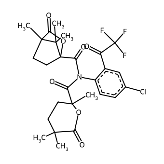 CC1(C)CCC(C)(C(=O)N(C(=O)C23CCC(C)(C(=O)O2)C3(C)C)c2ccc(Cl)cc2C(=O)C(F)(F)F)OC1=O